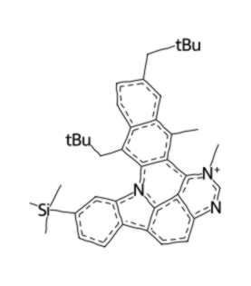 Cc1c2cc(CC(C)(C)C)ccc2c(CC(C)(C)C)c2c1c1c3c(ccc4c5ccc([Si](C)(C)C)cc5n2c43)nc[n+]1C